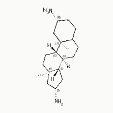 C[C@]12CC[C@H]3[C@@H](CCC4CC[C@@H](N)C[C@@]43C)[C@@H]1C[C@H](N)C2